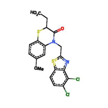 COc1ccc2c(c1)N(Cc1nc3c(Cl)c(Cl)ccc3s1)C(=O)C(CC(=O)O)S2